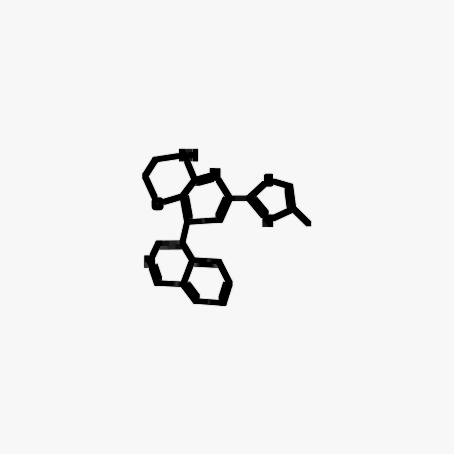 Cc1csc(-c2cc(-c3cncc4ccccc34)c3c(n2)NCCO3)n1